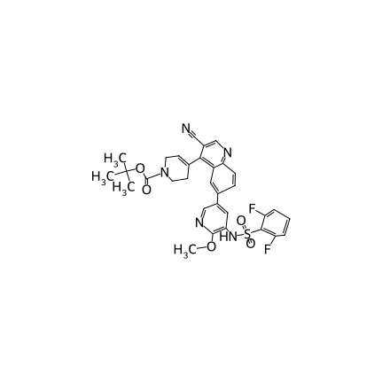 COc1ncc(-c2ccc3ncc(C#N)c(C4=CCN(C(=O)OC(C)(C)C)CC4)c3c2)cc1NS(=O)(=O)c1c(F)cccc1F